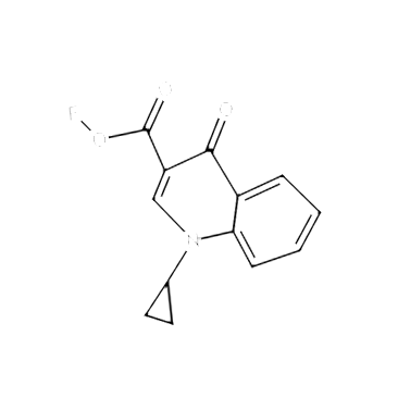 O=C(OF)c1cn(C2CC2)c2ccccc2c1=O